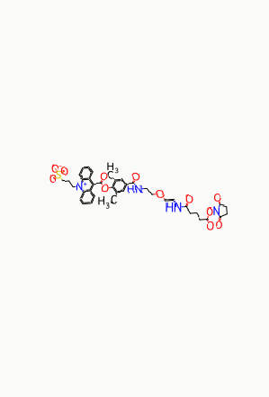 Cc1cc(C(=O)NCCOCCNC(=O)CCCC(=O)ON2C(=O)CCC2=O)cc(C)c1OC(=O)c1c2ccccc2[n+](CCCS(=O)(=O)[O-])c2ccccc12